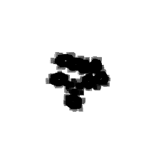 c1ccc(-c2nc(-c3ccccc3)nc(-c3cc(-n4c5ccccc5c5cc6cc7ccccc7cc6cc54)c4c(c3)oc3ccccc34)n2)cc1